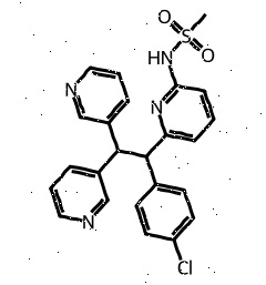 CS(=O)(=O)Nc1cccc(C(c2ccc(Cl)cc2)C(c2cccnc2)c2cccnc2)n1